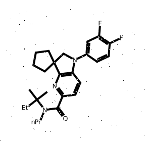 CCCN(C(=O)c1ccc2c(n1)C1(CCCC1)CN2c1ccc(F)c(F)c1)C(C)(C)CC